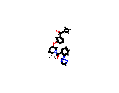 C[C@@H]1CC[C@@H](Oc2cccc(C(=O)C3CCC3)c2)CN1C(=O)c1ccccc1-n1nccn1